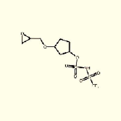 O=S(=O)(NS(=O)(=O)C(F)(F)F)OC1CCC(OCC2CO2)C1